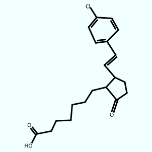 O=C(O)CCCCCCC1C(=O)CCC1C=Cc1ccc(Cl)cc1